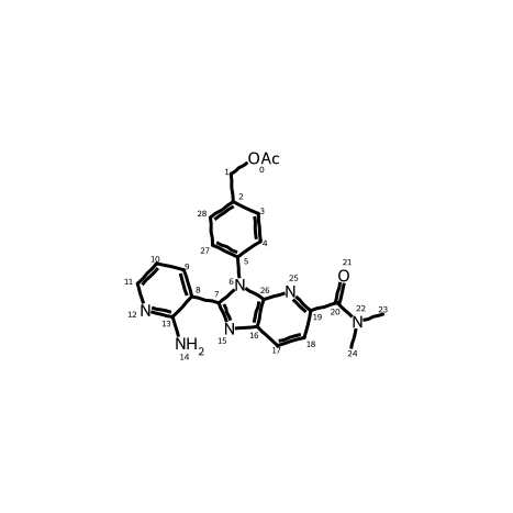 CC(=O)OCc1ccc(-n2c(-c3cccnc3N)nc3ccc(C(=O)N(C)C)nc32)cc1